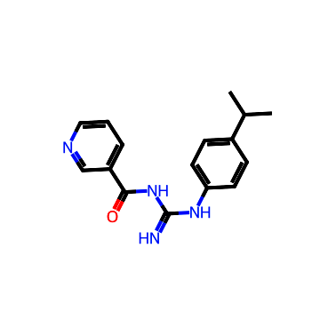 CC(C)c1ccc(NC(=N)NC(=O)c2cccnc2)cc1